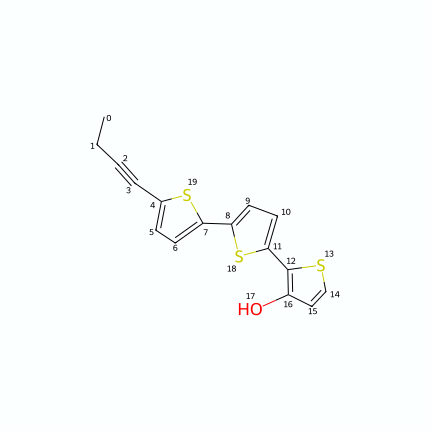 CCC#Cc1ccc(-c2ccc(-c3sccc3O)s2)s1